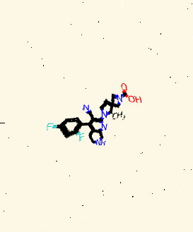 C[C@@H]1N(c2nc3c(c(-c4ccc(F)cc4F)c2C#N)CCNC3)CCC12CN(C(=O)O)C2